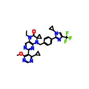 CCN1C(=O)C2(CC2)N(Cc2ccc(-c3nc(C(F)(F)F)cn3C3CC3)cc2)c2nc(-c3c(OC)ncnc3C3CC3)ncc21